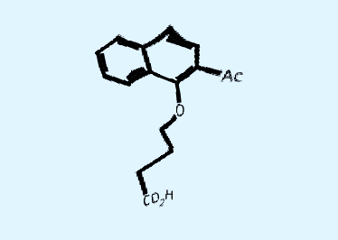 CC(=O)c1ccc2ccccc2c1OCCCC(=O)O